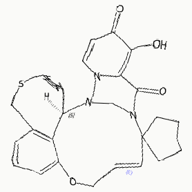 O=C1c2c(O)c(=O)ccn2N2CN1C1(/C=C/COc3cccc4c3[C@H]2c2ccccc2SC4)CCCC1